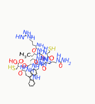 CCCC[C@H](NC(=O)[C@@H](N)CCCNC(=N)N)C(=O)N[C@@H](CS)C(=O)N[C@@H](CCCNC(N)=O)C(=O)N[C@H](Cc1ccccc1)C(=O)N[C@@H](CCCNC(=N)N)C(=O)N[C@@H](Cc1c[nH]c2ccccc12)C(=O)N[C@@H](CS)C(=O)O